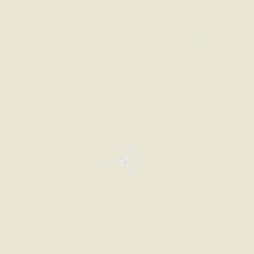 O=CN(CC(=O)O)C1Cc2cc(F)cc(F)c2C1